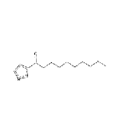 CCCCCCCCCC(=O)c1cc[nH]c1